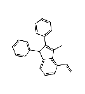 C=Cc1cccc2c1C(C)=C(c1ccccc1)C2c1ccccc1